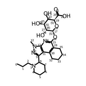 CCCN1CCCCC1c1nn(C)c2nc(O[C@@H]3O[C@H](C(=O)O)[C@H](O)[C@H](O)[C@H]3O)c3c(c12)CCCC3